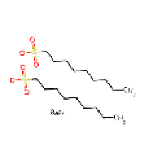 CCCCCCCCCS(=O)(=O)[O-].CCCCCCCCCS(=O)(=O)[O-].[Ba+2]